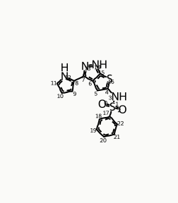 O=S(=O)(Nc1cc2c(-c3ccc[nH]3)n[nH]c2s1)c1ccccc1